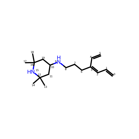 C=C/C=C(\C=C)CCCNC1CC(C)(C)NC(C)(C)C1